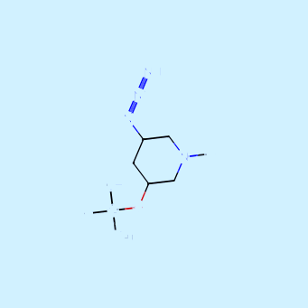 CC(C)(C)[Si](C)(C)OC1CC(N=[N+]=N)CN(C(=O)[O-])C1